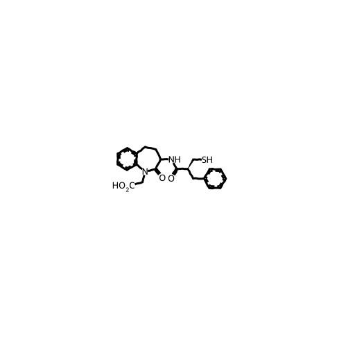 O=C(O)CN1C(=O)C(NC(=O)[C@@H](CS)Cc2ccccc2)CCc2ccccc21